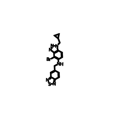 Brc1c(NCc2ccc3nsnc3c2)ccc2c1nnn2CC1CC1